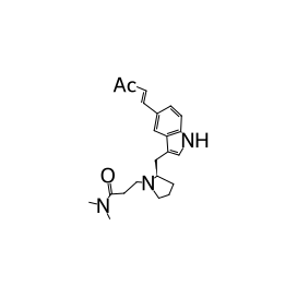 CC(=O)C=Cc1ccc2[nH]cc(C[C@H]3CCCN3CCC(=O)N(C)C)c2c1